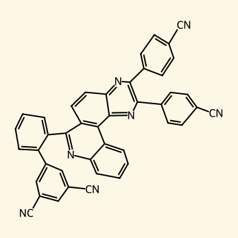 N#Cc1ccc(-c2nc3ccc4c(-c5ccccc5-c5cc(C#N)cc(C#N)c5)nc5ccccc5c4c3nc2-c2ccc(C#N)cc2)cc1